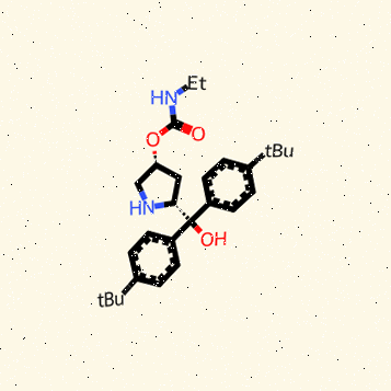 CCNC(=O)O[C@H]1CN[C@@H](C(O)(c2ccc(C(C)(C)C)cc2)c2ccc(C(C)(C)C)cc2)C1